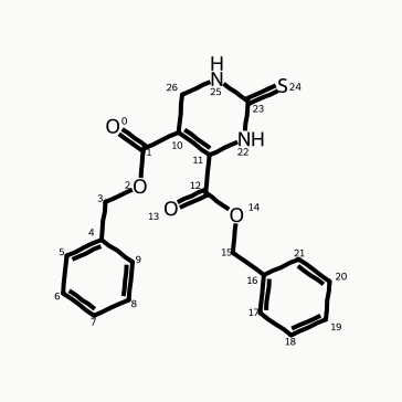 O=C(OCc1ccccc1)C1=C(C(=O)OCc2ccccc2)NC(=S)NC1